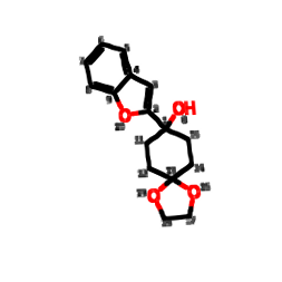 OC1(c2cc3ccccc3o2)CCC2(CC1)OCCO2